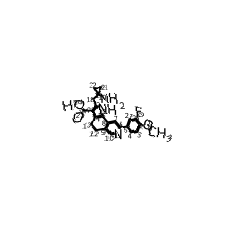 COc1ccc(-c2cc3c(cn2)CCc2c-3[nH]c(CC3(N)CC3)c2C(=O)O)cc1F